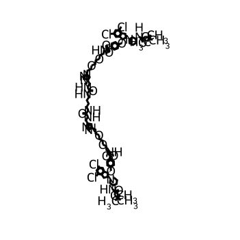 CC(C)(C)OC(=O)N[C@@H]1CCCN([C@H]2Cc3c(Cl)cc(Cl)cc3[C@@H]2Oc2ccc(S(=O)(=O)NCCOCCOCCn3cc(CNC(=O)NCCCCNC(=O)NCc4cn(CCOCCOCCNS(=O)(=O)c5ccc(O[C@H]6c7cc(Cl)cc(Cl)c7C[C@@H]6N6CCC[C@@H](NC(=O)OC(C)(C)C)C6)cc5)nn4)nn3)cc2)C1